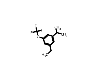 CCc1cc(OC(F)(F)F)cc([C](C)C)c1